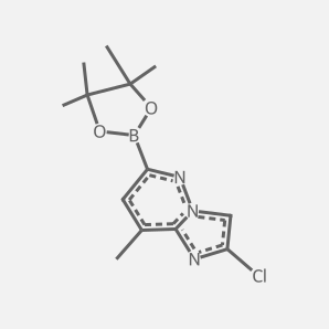 Cc1cc(B2OC(C)(C)C(C)(C)O2)nn2cc(Cl)nc12